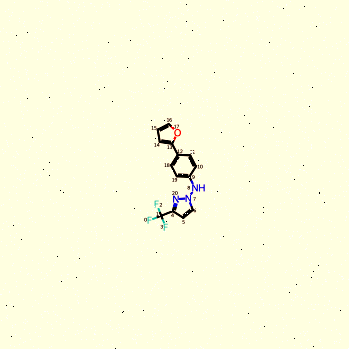 FC(F)(F)c1ccn(Nc2ccc(-c3ccco3)cc2)n1